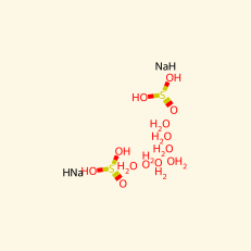 O.O.O.O.O.O.O.O=S(O)O.O=S(O)O.[NaH].[NaH]